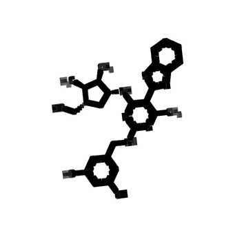 Cc1nc(NCc2cc(O)cc(O)c2)nc(N[C@@H]2C[C@H](CO)[C@@H](C)[C@H]2C)c1-c1nc2ccccc2s1